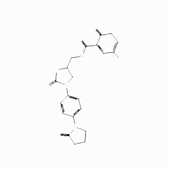 O=C(NCC1CN(c2ccc(N3CCCC3=O)cc2)C(=O)O1)C1=CC(Br)=CCC1=S